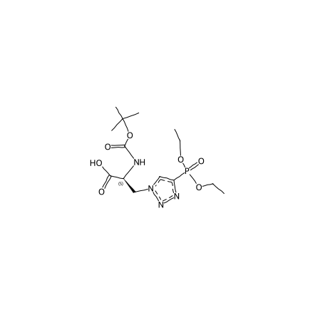 CCOP(=O)(OCC)c1cn(C[C@H](NC(=O)OC(C)(C)C)C(=O)O)nn1